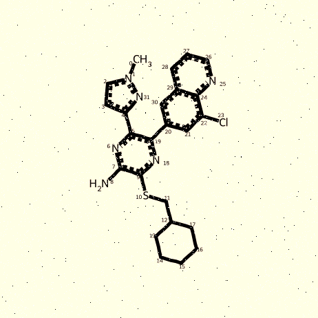 Cn1ccc(-c2nc(N)c(SCC3CCCCC3)nc2-c2cc(Cl)c3ncccc3c2)n1